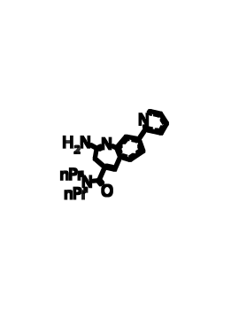 CCCN(CCC)C(=O)C1=Cc2ccc(-c3ccccn3)cc2N=C(N)C1